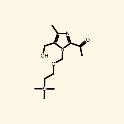 CC(=O)c1nc(C)c(CO)n1COCC[Si](C)(C)C